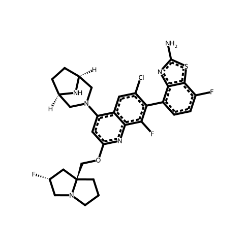 Nc1nc2c(-c3c(Cl)cc4c(N5C[C@H]6CC[C@@H](C5)N6)cc(OC[C@@]56CCCN5C[C@H](F)C6)nc4c3F)ccc(F)c2s1